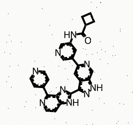 O=C(Nc1cncc(-c2cc3c(-c4nc5c(-c6ccncc6)nccc5[nH]4)n[nH]c3cn2)c1)C1CCC1